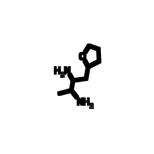 CC(N)C(N)CC1CCCO1